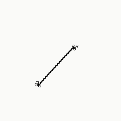 O=C(O)CCCCCCCCCCCCCCCCCCCCCCCCCCCCCCCCCCCCCC[Si](Cl)(Cl)Cl